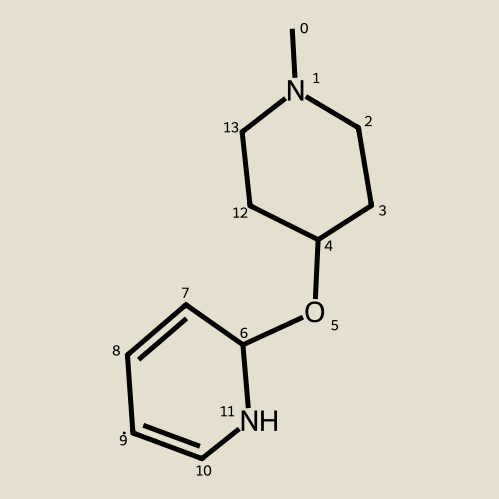 CN1CCC(OC2C=C[C]=CN2)CC1